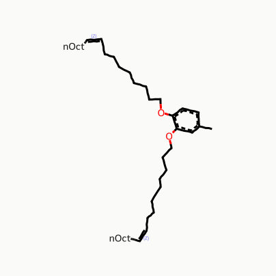 CCCCCCCC/C=C\CCCCCCCCOc1ccc(C)cc1OCCCCCCCC/C=C\CCCCCCCC